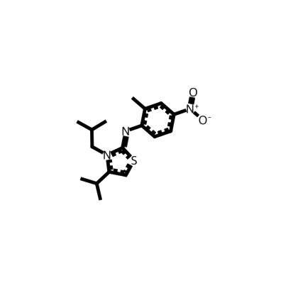 Cc1cc([N+](=O)[O-])ccc1N=c1scc(C(C)C)n1CC(C)C